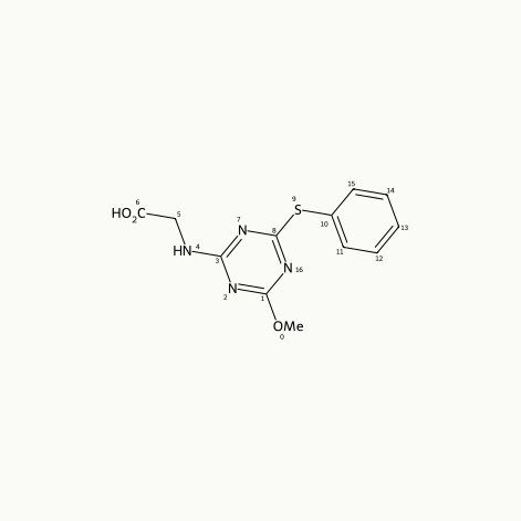 COc1nc(NCC(=O)O)nc(Sc2ccccc2)n1